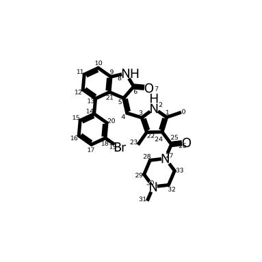 Cc1[nH]c(/C=C2\C(=O)Nc3cccc(-c4cccc(Br)c4)c32)c(C)c1C(=O)N1CCN(C)CC1